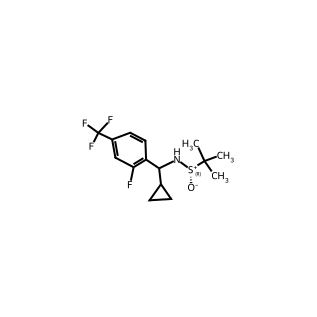 CC(C)(C)[S@+]([O-])NC(c1ccc(C(F)(F)F)cc1F)C1CC1